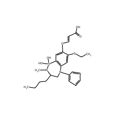 CCCCC1CN(c2ccccc2)c2cc(SCC)c(O/C=C/C(=O)O)cc2S(O)(O)N1C